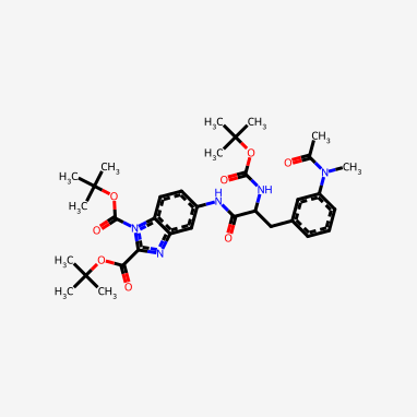 CC(=O)N(C)c1cccc(CC(NC(=O)OC(C)(C)C)C(=O)Nc2ccc3c(c2)nc(C(=O)OC(C)(C)C)n3C(=O)OC(C)(C)C)c1